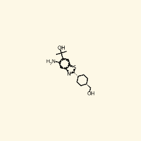 CC(C)(O)c1cc2sc([C@H]3CC[C@H](CO)CC3)nc2cc1N